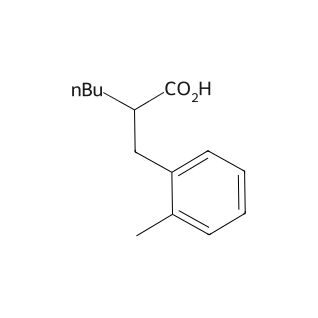 CCCCC(Cc1ccccc1C)C(=O)O